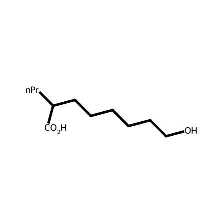 CCCC(CCCCCCO)C(=O)O